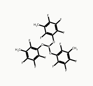 Cc1c(F)c(F)c(F)c(OB(Oc2c(F)c(C)c(F)c(F)c2F)Oc2c(F)c(C)c(F)c(F)c2F)c1F